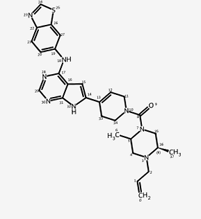 C=CCN1CC(C)N(C(=O)N2CC=C(c3cc4c(Nc5ccc6ncsc6c5)ncnc4[nH]3)CC2)C[C@H]1C